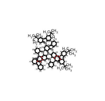 CC(C)(C)c1ccc2c(c1)c1cc(C(C)(C)C)ccc1n2-c1ccc2c(c1)N(c1ccccc1-c1ccccc1)c1cc(-n3c4ccccc4c4ccccc43)cc3c1B2c1c(cc(-n2c4ccc(C(C)(C)C)cc4c4cc(C(C)(C)C)ccc42)c2c1sc1ccccc12)N3c1ccccc1-c1ccccc1